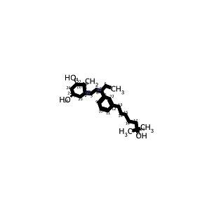 C=C1/C(=C\C=C(\CC)c2cccc(CCCCCC(C)(C)O)c2)C[C@@H](O)C[C@@H]1O